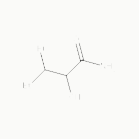 CCC(CC)C(C)C(N)=O